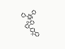 CC1(C)c2ccccc2-c2ccc(-c3cccc4oc5c(-c6nc(-c7ccccc7)nc(-c7ccccc7)n6)cccc5c34)cc21